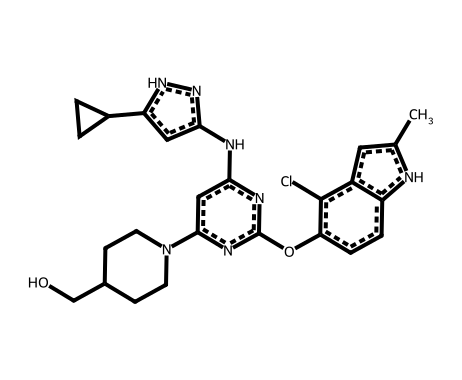 Cc1cc2c(Cl)c(Oc3nc(Nc4cc(C5CC5)[nH]n4)cc(N4CCC(CO)CC4)n3)ccc2[nH]1